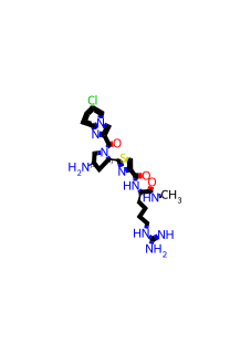 CNC(=O)[C@@H](CCCCNC(=N)N)NC(=O)c1csc([C@H]2C[C@H](N)CN2C(=O)c2cn3cc(Cl)ccc3n2)n1